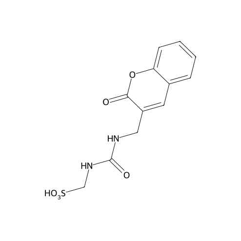 O=C(NCc1cc2ccccc2oc1=O)NCS(=O)(=O)O